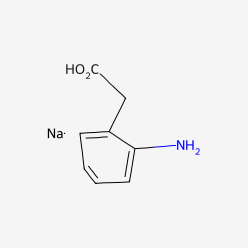 Nc1ccccc1CC(=O)O.[Na]